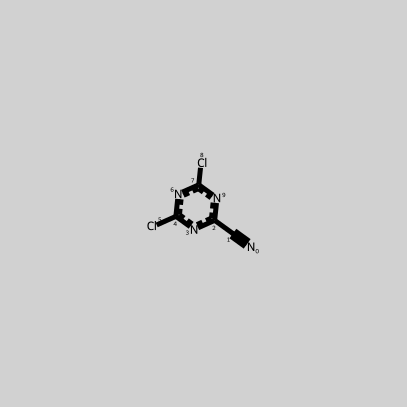 N#Cc1nc(Cl)nc(Cl)n1